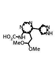 COC(Cc1c(NC(=O)O)ncnc1-c1cn[nH]c1)OC